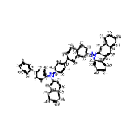 c1ccc(-c2ccc(N(c3ccc(-c4ccc5ccc(-n6c7ccccc7c7cc8ccccc8cc76)cc5c4)cc3)c3ccc4ccccc4c3)cc2)cc1